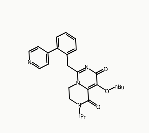 CCCCOc1c2n(c(Cc3ccccc3-c3ccncc3)nc1=O)CCN(C(C)C)C2=O